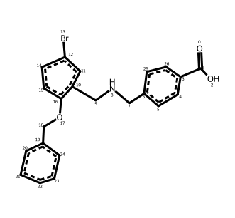 O=C(O)c1ccc(CNCc2cc(Br)ccc2OCc2ccccc2)cc1